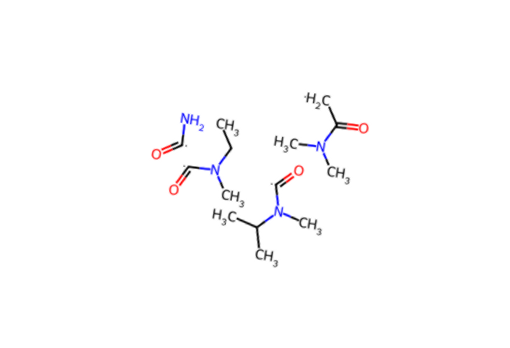 CC(C)N(C)[C]=O.CCN(C)[C]=O.N[C]=O.[CH2]C(=O)N(C)C